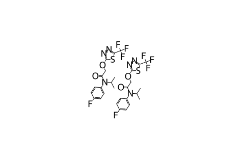 CC(C)N(C(=O)COc1nnc(C(F)(F)F)s1)c1ccc(F)cc1.CC(C)N(C(=O)COc1nnc(C(F)(F)F)s1)c1ccc(F)cc1